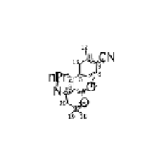 C=NC1=C(C(CCC)c2ccc(C#N)c(C)c2)C(=O)OC(C)(C)C1